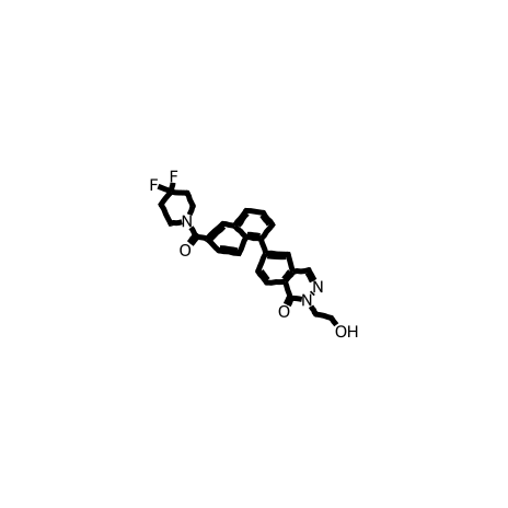 O=C(c1ccc2c(-c3ccc4c(=O)n(CCO)ncc4c3)cccc2c1)N1CCC(F)(F)CC1